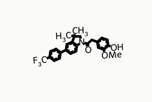 COc1cc(CC(=O)N2CC(C)(C)c3cc(-c4ccc(C(F)(F)F)cc4)ccc32)ccc1O